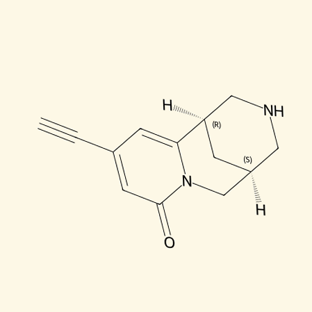 C#Cc1cc2n(c(=O)c1)C[C@@H]1CNC[C@H]2C1